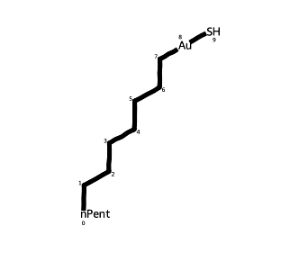 CCCCCCCCCCC[CH2][Au][SH]